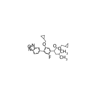 CC(C)CC(C(=O)OCC1CC1)c1cc(OCC2CC2)c(-c2ccc3nonc3c2)cc1F